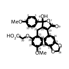 COc1ccc(C2(O)OC(=O)C(c3ccc4c(c3)OCO4)=C2Cc2ccc(OC)cc2OCC(=O)O)cc1